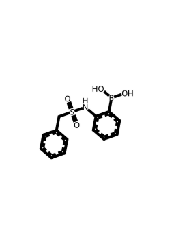 O=S(=O)(Cc1ccccc1)Nc1ccccc1B(O)O